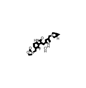 Cl.O=C1Nc2ccc(CN3CCOC3=O)c(F)c2C1=Cc1cc(CN2CC3C[C@@H]3C2)c[nH]1